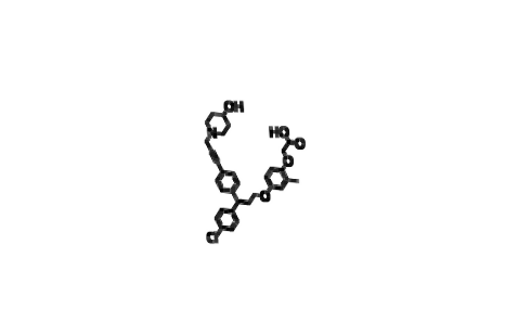 Cc1cc(OC/C=C(/c2ccc(Cl)cc2)c2ccc(C#CCN3CCC(O)CC3)cc2)ccc1OCC(=O)O